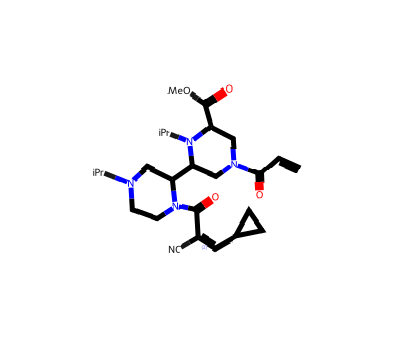 C=CC(=O)N1CC(C(=O)OC)N(C(C)C)C(C2CN(C(C)C)CCN2C(=O)/C(C#N)=C\C2CC2)C1